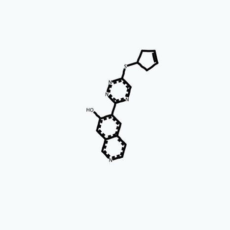 Oc1cc2cnccc2cc1-c1ncc(SC2CC=CC2)nn1